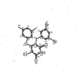 CCc1c(Oc2cc(C)cc(C)c2)n(Cc2cc(Br)cc(Br)c2)c(=O)[nH]c1=O